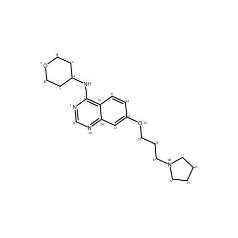 c1nc(NC2CCOCC2)c2ccc(OCCCN3CCCC3)cc2n1